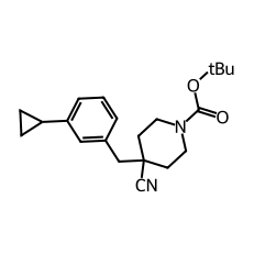 CC(C)(C)OC(=O)N1CCC(C#N)(Cc2cccc(C3CC3)c2)CC1